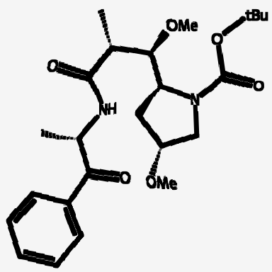 CO[C@@H]1C[C@@H]([C@H](OC)[C@@H](C)C(=O)N[C@@H](C)C(=O)c2ccccc2)N(C(=O)OC(C)(C)C)C1